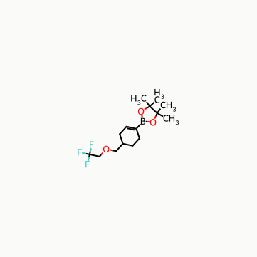 CC1(C)OB(C2=CCC(COCC(F)(F)F)CC2)OC1(C)C